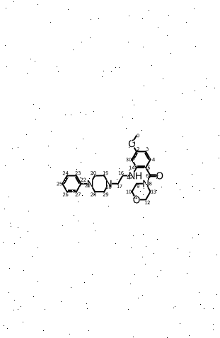 COc1ccc(C(=O)N2CCOCC2)c(NCCN2CCN(c3ccccc3)CC2)c1